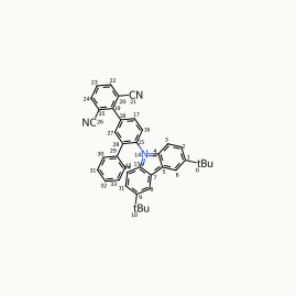 CC(C)(C)c1ccc2c(c1)c1cc(C(C)(C)C)ccc1n2-c1ccc(-c2c(C#N)cccc2C#N)cc1-c1ccccc1